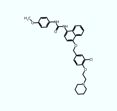 COc1ccc(NC(=O)Nc2ccc(OCc3ccc(OCCN4CCCCC4)c(Cl)c3)c3ccccc23)cc1